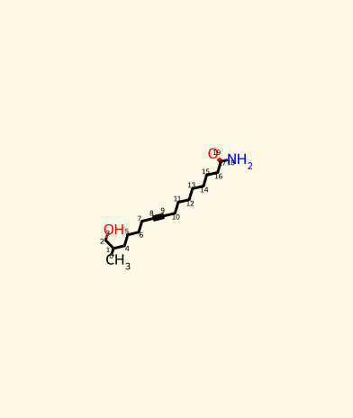 CC(CO)CCCCC#CCCCCCCCC(N)=O